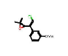 COc1cccc(C(=CCl)C2OC2(C)C)c1